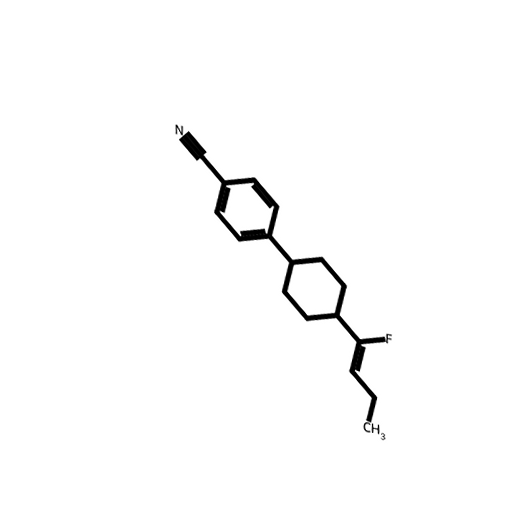 CCC=C(F)C1CCC(c2ccc(C#N)cc2)CC1